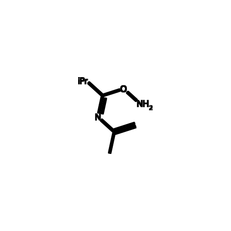 C=C(C)/N=C(\ON)C(C)C